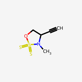 C#CC1COS(=S)(=S)N1C